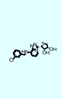 O[C@@H]1[C@H](O)CS[C@H]1c1nnc2c(NCc3cccc(Cl)c3)cccn12